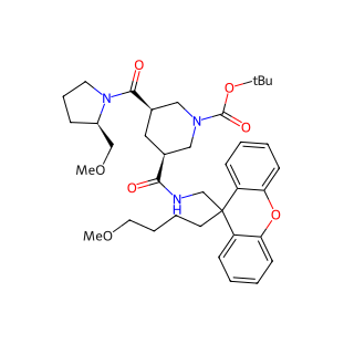 COCCCCC1(CNC(=O)[C@H]2C[C@@H](C(=O)N3CCC[C@@H]3COC)CN(C(=O)OC(C)(C)C)C2)c2ccccc2Oc2ccccc21